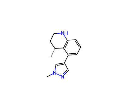 C[C@@H]1CCNc2cccc(-c3cnn(C)c3)c21